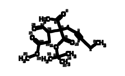 CCC#CCC(C(C)=O)(C(=O)OC(C)(C)C)C(C=O)CC(=O)OC